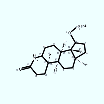 CCCCCOC1CC[C@@]2(C)CC[C@@H]3[C@@H](CCC4NC(=O)CC[C@@]43C)[C@H]12